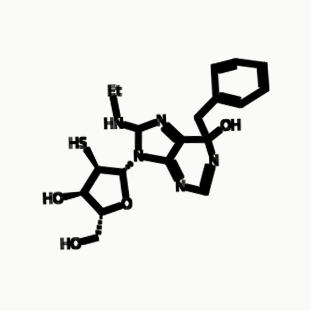 CCNC1N=C2C(=NC=NC2(O)Cc2ccccc2)N1[C@@H]1O[C@H](CO)[C@@H](O)[C@H]1S